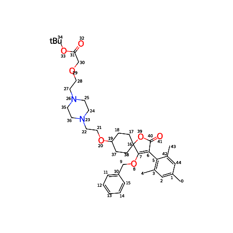 Cc1cc(C)c(C2=C(OCc3ccccc3)C3(CCC(OCCN4CCN(CCOCC(=O)OC(C)(C)C)CC4)CC3)OC2=O)c(C)c1